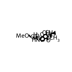 COCCOCC(=O)NC1=CC2C(C=C1)C(=O)C(N(C)CC1CC1)[C@H](C)C2(C)C